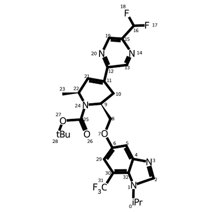 CC(C)n1cnc2cc(OC[C@@H]3CC(c4cnc(C(F)F)cn4)=C[C@H](C)N3C(=O)OC(C)(C)C)cc(C(F)(F)F)c21